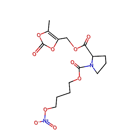 Cc1oc(=O)oc1COC(=O)C1CCCN1C(=O)OCCCCO[N+](=O)[O-]